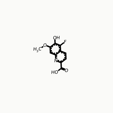 COc1cc2nc(C(=O)O)ccc2c(F)c1O